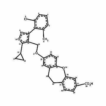 Cc1cccc(Cl)c1-c1noc(C2CC2)c1COc1cc2c(cn1)Oc1cc(C(=O)O)cnc1CC2